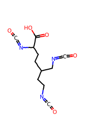 O=C=NCCC(CCC(N=C=O)C(=O)O)CN=C=O